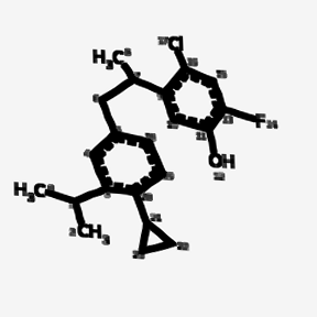 CC(C)c1cc(CC(C)c2cc(O)c(F)cc2Cl)ccc1C1CC1